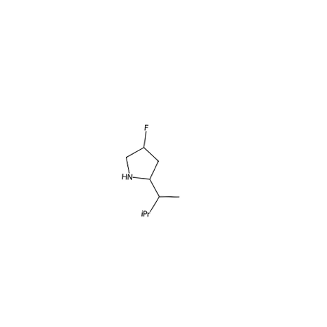 CC(C)C(C)C1CC(F)CN1